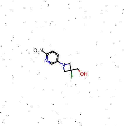 O=[N+]([O-])c1ccc(N2CC(F)(CO)C2)cn1